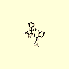 C=N/C=C(\C=C\[C@H]1NC(=O)O[C@]1(C)c1ccccc1)c1ccccc1